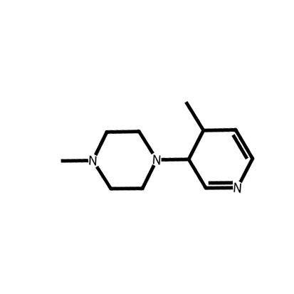 CC1C=CN=CC1N1CCN(C)CC1